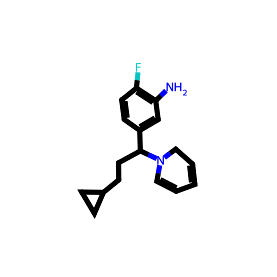 Nc1cc(C(CCC2CC2)N2C=CC=CC2)ccc1F